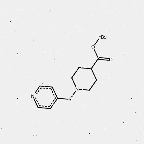 CC(C)(C)OC(=O)C1CCN(Sc2ccncc2)CC1